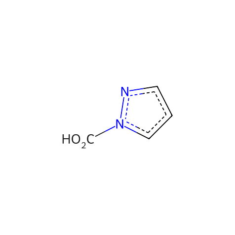 O=C(O)n1cccn1